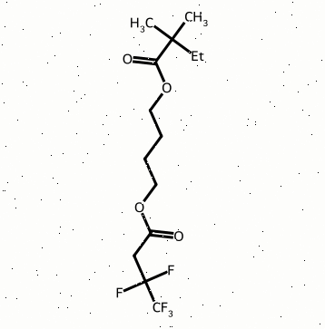 CCC(C)(C)C(=O)OCCCCOC(=O)CC(F)(F)C(F)(F)F